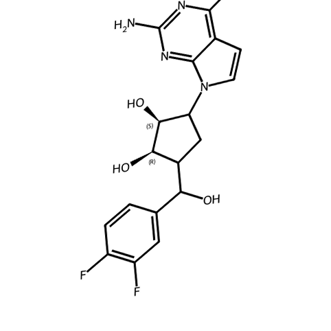 Cc1nc(N)nc2c1ccn2C1CC(C(O)c2ccc(F)c(F)c2)[C@@H](O)[C@H]1O